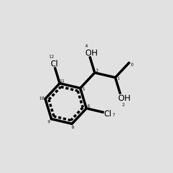 CC(O)C(O)c1c(Cl)cccc1Cl